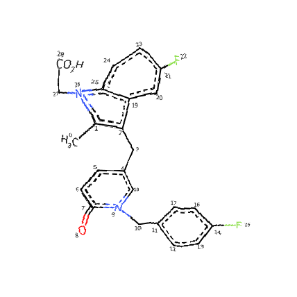 Cc1c(Cc2ccc(=O)n(Cc3ccc(F)cc3)c2)c2cc(F)ccc2n1CC(=O)O